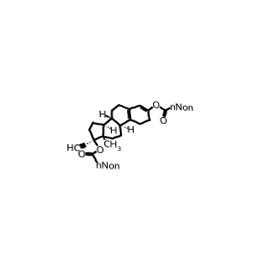 C#C[C@]1(OC(=O)CCCCCCCCC)CC[C@H]2[C@@H]3CCC4=C(CCC(OC(=O)CCCCCCCCC)=C4)[C@H]3CC[C@@]21C